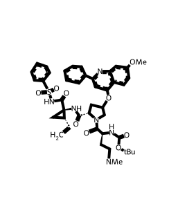 C=C[C@@H]1C[C@]1(NC(=O)[C@@H]1CC(Oc2cc(-c3ccccc3)nc3cc(OC)ccc23)CN1C(=O)[C@H](CCNC)NC(=O)OC(C)(C)C)C(=O)NS(=O)(=O)c1ccccc1